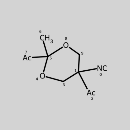 [C-]#[N+]C1(C(C)=O)COC(C)(C(C)=O)OC1